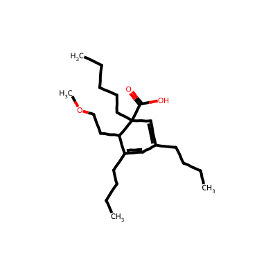 CCCCCC1(C(=O)O)C=C(CCCC)C=C(CCCC)C1CCOC